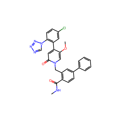 CNC(=O)c1ccc(-c2ccccc2)cc1Cn1cc(OC)c(-c2cc(Cl)ccc2-n2cnnn2)cc1=O